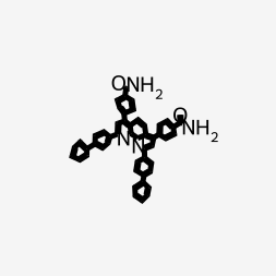 NC(=O)c1ccc(-c2cc(-c3ccc(-c4ccccc4)cc3)nc3c2ccc2c(-c4ccc(C(N)=O)cc4)cc(-c4ccc(-c5ccccc5)cc4)nc23)cc1